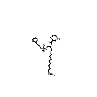 CCCCCCCCCCCCCCCCCCOCC(COP(=O)(O)OCCc1nccs1)OC(=O)C1CNCCO1